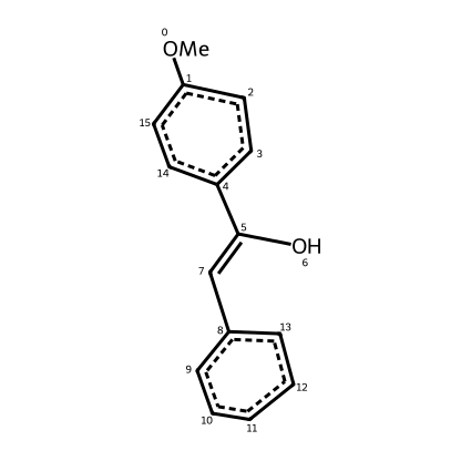 COc1ccc(C(O)=Cc2ccccc2)cc1